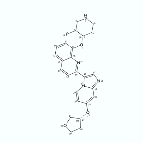 FC1CNCC[C@@H]1Oc1cccc2ccc(-c3cnc4cc(O[C@@H]5CCOC5)ccn34)nc12